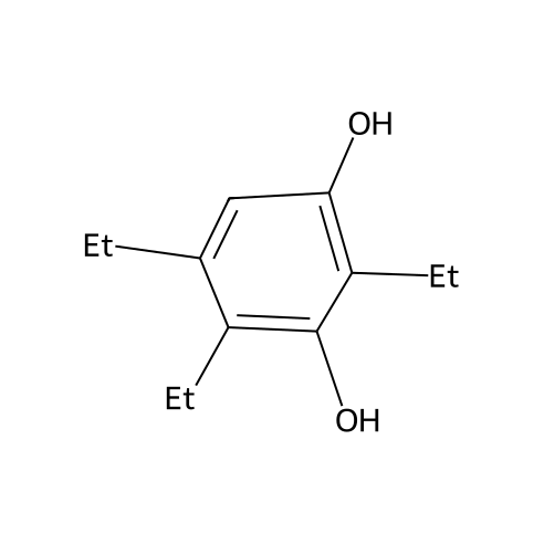 CCc1cc(O)c(CC)c(O)c1CC